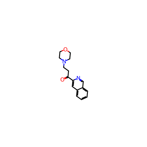 O=C(CCN1CCOCC1)c1cc2ccccc2cn1